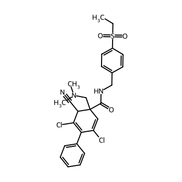 CCS(=O)(=O)c1ccc(CNC(=O)C2(CN(C)C)C=C(Cl)C(c3ccccc3)=C(Cl)C2C#N)cc1